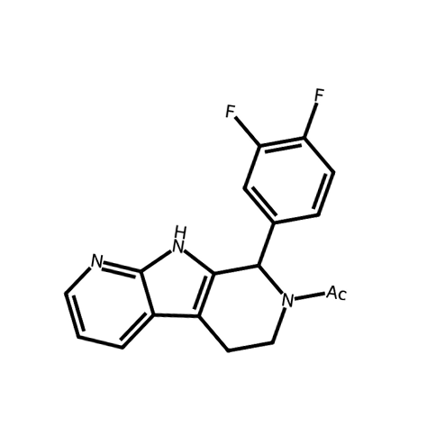 CC(=O)N1CCc2c([nH]c3ncccc23)C1c1ccc(F)c(F)c1